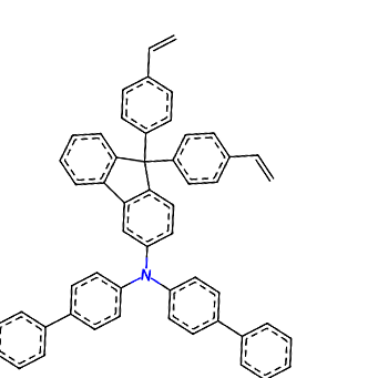 C=Cc1ccc(C2(c3ccc(C=C)cc3)c3ccccc3-c3cc(N(c4ccc(-c5ccccc5)cc4)c4ccc(-c5ccccc5)cc4)ccc32)cc1